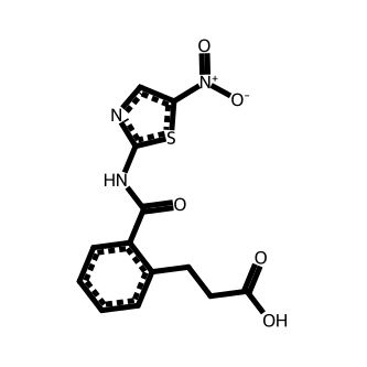 O=C(O)CCc1ccccc1C(=O)Nc1ncc([N+](=O)[O-])s1